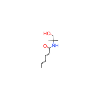 C/C=C/C=C/C(=O)NC(C)(C)CO